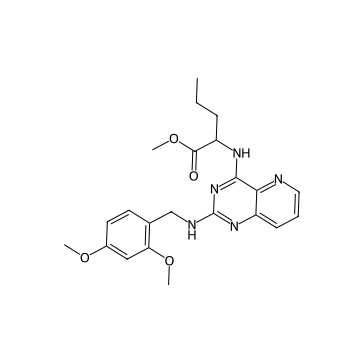 CCCC(Nc1nc(NCc2ccc(OC)cc2OC)nc2cccnc12)C(=O)OC